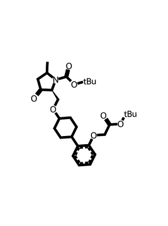 CC1CC(=O)[C@H](COC2CCC(c3ccccc3OCC(=O)OC(C)(C)C)CC2)N1C(=O)OC(C)(C)C